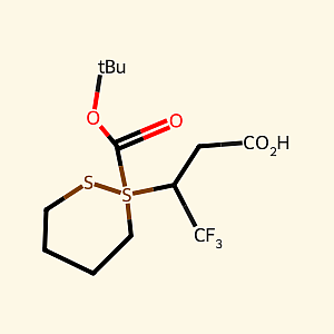 CC(C)(C)OC(=O)S1(C(CC(=O)O)C(F)(F)F)CCCCS1